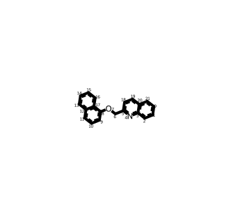 c1ccc2nc(COc3cccc4ccccc34)ccc2c1